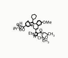 CCn1nc(C)c(C(=O)N2C[C@@H](C)O[C@@H](C)C2)c1C1=Cc2cc(OC)ccc2-c2c(C3CCCCC3)c3ccc(C(=O)NS(=O)(=O)C(C)C)cc3n2C1